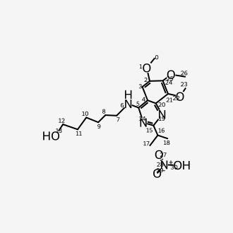 COc1cc2c(NCCCCCCO)nc(C(C)C)nc2c(OC)c1OC.O=[N+]([O-])O